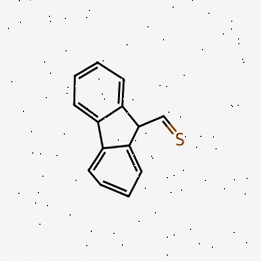 S=CC1c2ccccc2-c2ccccc21